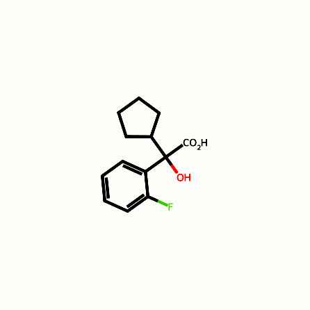 O=C(O)C(O)(c1ccccc1F)C1CCCC1